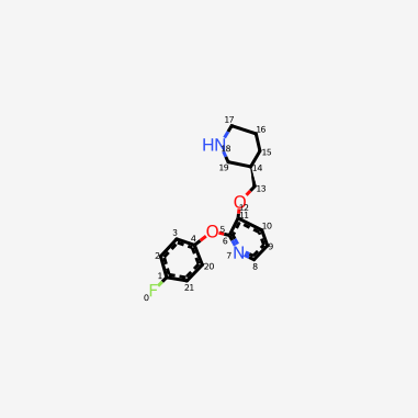 Fc1ccc(Oc2ncccc2OC[C@@H]2CCCNC2)cc1